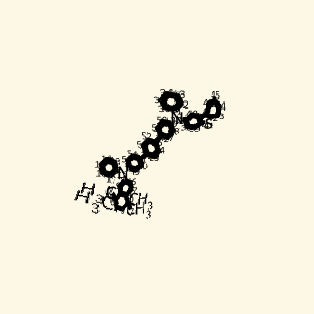 CC1(C)CCC(C)(C)c2cc(N(c3ccccc3)c3ccc(-c4ccc(-c5ccc(N(c6ccccc6)c6ccc7sc8ccccc8c7c6)cc5)cc4)cc3)ccc21